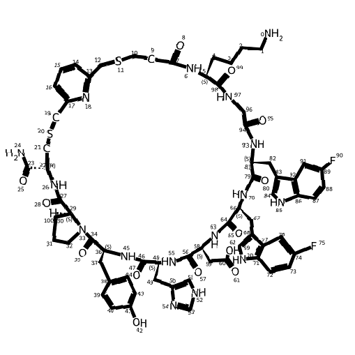 NCCCC[C@@H]1NC(=O)CCSCc2cccc(n2)CSC[C@@H](C(N)=O)NC(=O)[C@@H]2CCCN2C(=O)[C@H](Cc2ccc(O)cc2)NC(=O)[C@H](Cc2c[nH]cn2)NC(=O)[C@H](CC(=O)O)NC(=O)[C@H](Cc2c[nH]c3ccc(F)cc23)NC(=O)[C@H](Cc2c[nH]c3ccc(F)cc23)NC(=O)CNC1=O